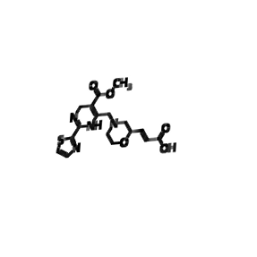 COC(=O)C1=C(CN2CCO[C@H](/C=C/C(=O)O)C2)NC(c2nccs2)=NC1